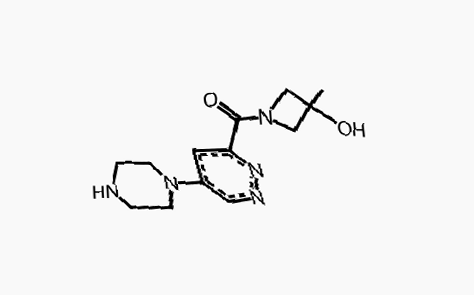 CC1(O)CN(C(=O)c2cc(N3CCNCC3)cnn2)C1